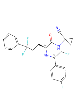 N#CC1(NC(=O)[C@H](CCC(F)(F)c2ccccc2)N[C@H](CF)c2ccc(F)cc2)CC1